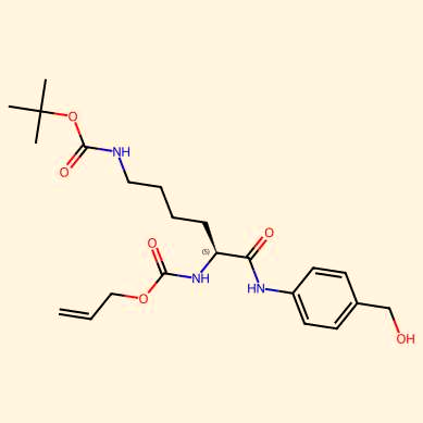 C=CCOC(=O)N[C@@H](CCCCNC(=O)OC(C)(C)C)C(=O)Nc1ccc(CO)cc1